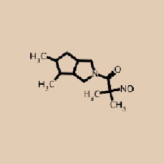 CC1CC2CN(C(=O)C(C)(C)N=O)CC2C1C